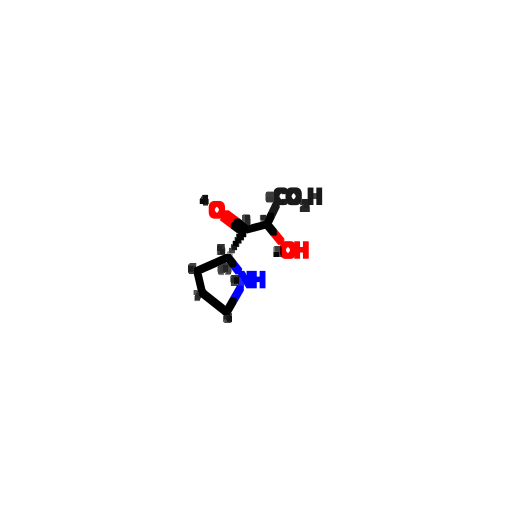 O=C(O)C(O)C(=O)[C@H]1CCCN1